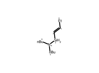 CCC=C[SiH2]N(CCCC)CCCC